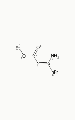 CCC/C(N)=C/C(=O)OCC